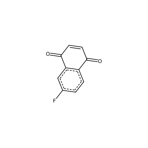 O=C1C=CC(=O)c2cc(F)ccc21